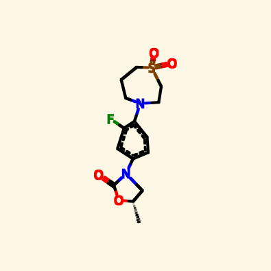 C[C@H]1CN(c2ccc(N3CCCS(=O)(=O)CC3)c(F)c2)C(=O)O1